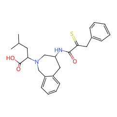 CC(C)CC(C(=O)O)N1Cc2ccccc2CC(NC(=O)C(=S)Cc2ccccc2)C1